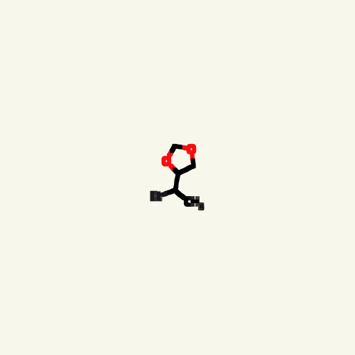 CCC(C)C1COCO1